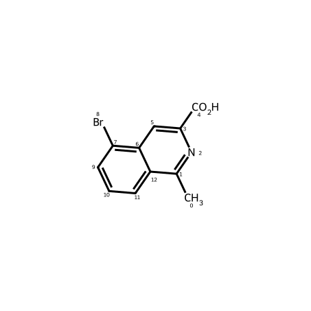 Cc1nc(C(=O)O)cc2c(Br)cccc12